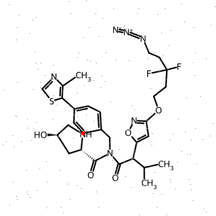 Cc1ncsc1-c1ccc(CN(C(=O)C(c2cc(OCCC(F)(F)CCN=[N+]=[N-])no2)C(C)C)C(=O)[C@@H]2C[C@@H](O)CN2)cc1